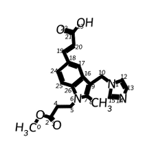 COC(=O)CCn1c(C)c(Cn2ccnc2)c2cc(C=CC(=O)O)ccc21